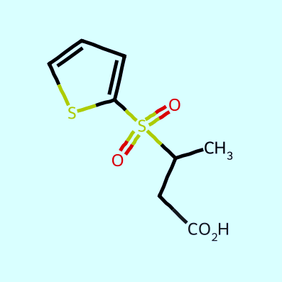 CC(CC(=O)O)S(=O)(=O)c1cccs1